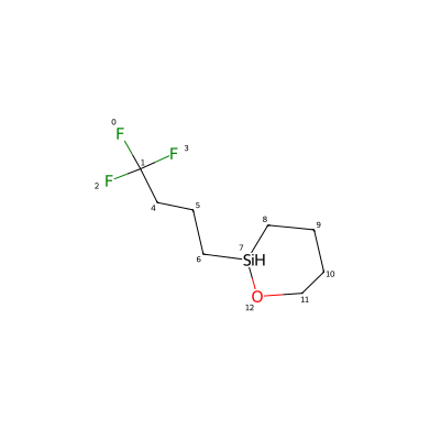 FC(F)(F)CCC[SiH]1CCCCO1